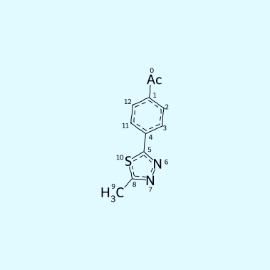 CC(=O)c1ccc(-c2nnc(C)s2)cc1